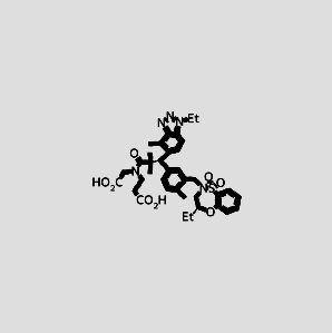 CC[C@@H]1CN(Cc2cc([C@@H](c3ccc4c(nnn4CC)c3C)C(C)(C)C(=O)N(CCC(=O)O)CC(=O)O)ccc2C)S(=O)(=O)c2ccccc2O1